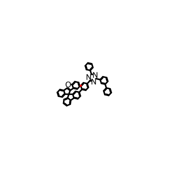 c1ccc(-c2cccc(-c3nc(-c4ccccc4)nc(-c4ccc(-c5ccc6c(c5)C5(c7ccccc7-6)c6ccccc6-c6oc7ccccc7c65)cc4)n3)c2)cc1